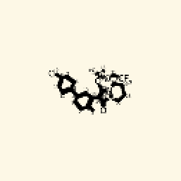 Cc1ccc(-c2ccc(Cl)cc2)cc1-c1c(OP(C)(=S)OCC(F)(F)F)n2n(c1=O)CCCC2